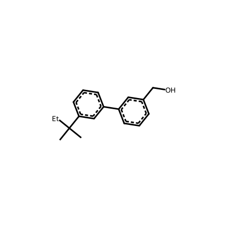 CCC(C)(C)c1cccc(-c2cccc(CO)c2)c1